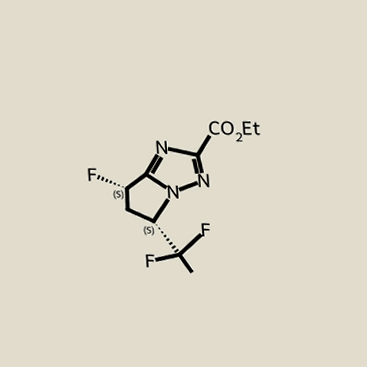 CCOC(=O)c1nc2n(n1)[C@H](C(C)(F)F)C[C@@H]2F